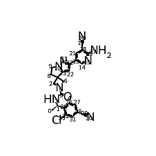 C[C@@H](NC(=O)N1CC2(CCn3nc(-c4cnc(N)c(C#N)c4)cc32)C1)c1ccc(C#N)cc1Cl